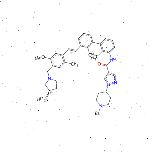 CCN1CCC(n2cc(C(=O)Nc3cccc(-c4cccc(/C=C/c5cc(OC)c(CN6CC[C@@H](C(=O)O)C6)cc5C(F)(F)F)c4C)c3C)cn2)CC1